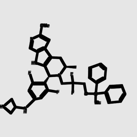 COc1cc2c3c([nH]c2cn1)[C@@H](c1c(F)cc(NC2CNC2)cc1F)N(CC(F)(F)CO[Si](c1ccccc1)(c1ccccc1)C(C)(C)C)[C@H](C)C3